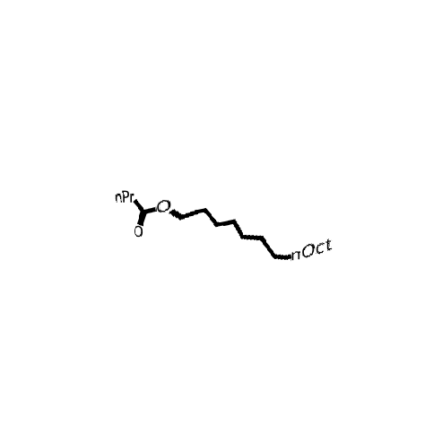 CCCCCCCCCCCCCCCOC(=O)CCC